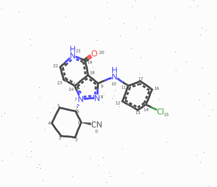 N#C[C@H]1CCCC[C@@H]1n1nc(Nc2ccc(Cl)cc2)c2c(=O)[nH]ccc21